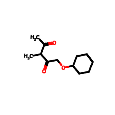 CC(=O)C(C)C(=O)COC1CCCCC1